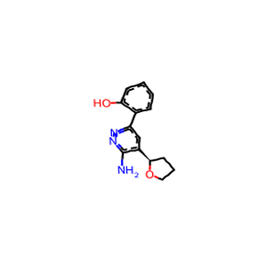 Nc1nnc(-c2ccccc2O)cc1[C@H]1CCCO1